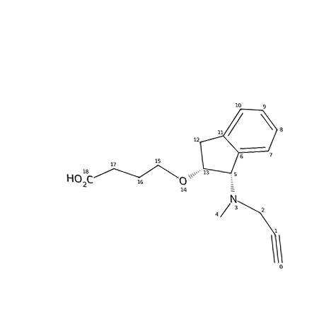 C#CCN(C)[C@H]1c2ccccc2C[C@H]1OCCCC(=O)O